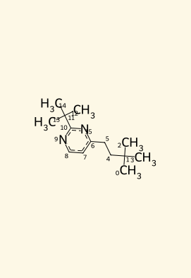 CC(C)(C)CCc1ccnc(C(C)(C)C)n1